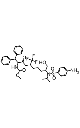 COC(=O)N[C@H](C(=O)C[C@H](CCC[C@@H](CO)N(C(C)C)S(=O)(=O)c1ccc(N)cc1)C(F)(F)F)C(c1ccccc1)c1ccccc1